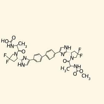 COC(=O)N[C@@H](C)C(=O)N1CC(F)(F)C[C@H]1c1nc(-c2ccc(-c3ccc(-c4c[nH]c([C@@H]5CC(F)(F)CN5C(=O)[C@H](C)NC(=O)O)n4)cc3)cc2)c[nH]1